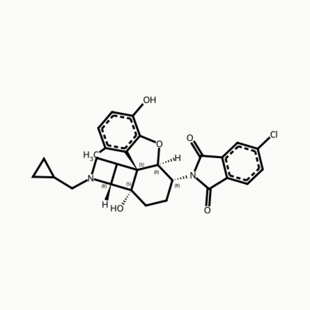 Cc1ccc(O)c2c1[C@]13C4CN(CC5CC5)[C@H]4[C@]1(O)CC[C@@H](N1C(=O)c4ccc(Cl)cc4C1=O)[C@@H]3O2